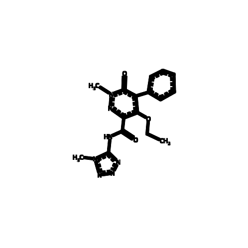 CCOc1c(C(=O)Nc2nnnn2C)nn(C)c(=O)c1-c1ccccc1